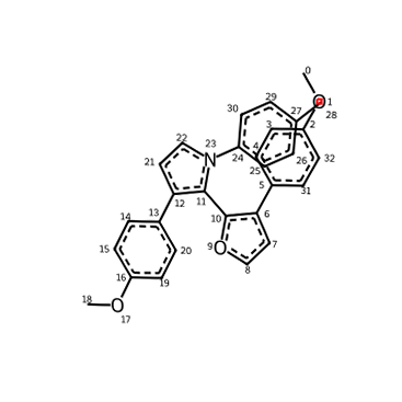 COc1ccc(-c2ccoc2-c2c(-c3ccc(OC)cc3)ccn2-c2ccc(C)cc2)cc1